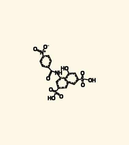 O=C(Nc1cc(S(=O)(=O)O)cc2cc(S(=O)(=O)O)cc(O)c12)c1ccc([N+](=O)[O-])cc1